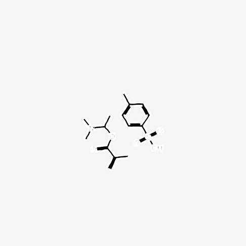 C=C(C)C(=O)OC(C)N(C)C.Cc1ccc(S(=O)(=O)O)cc1